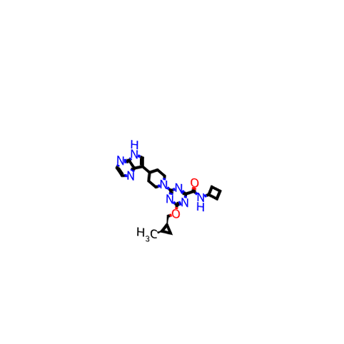 C[C@@H]1C[C@@H]1COc1nc(C(=O)NC2CCC2)nc(N2CCC(c3c[nH]c4nccnc34)CC2)n1